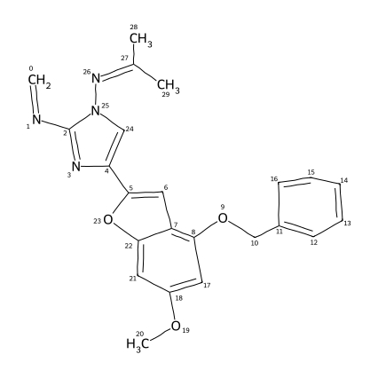 C=Nc1nc(-c2cc3c(OCc4ccccc4)cc(OC)cc3o2)cn1N=C(C)C